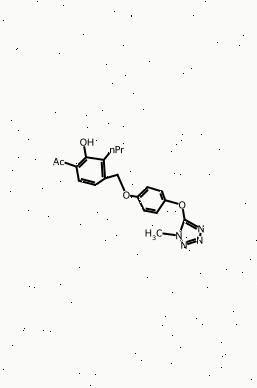 CCCc1c(COc2ccc(Oc3nnnn3C)cc2)ccc(C(C)=O)c1O